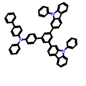 c1ccc(-c2ccc(N(c3ccccc3)c3ccc(-c4cc(-c5ccc6c7ccccc7n(-c7ccccc7)c6c5)cc(-c5ccc6c7ccccc7n(-c7ccccc7)c6c5)c4)cc3)cc2)cc1